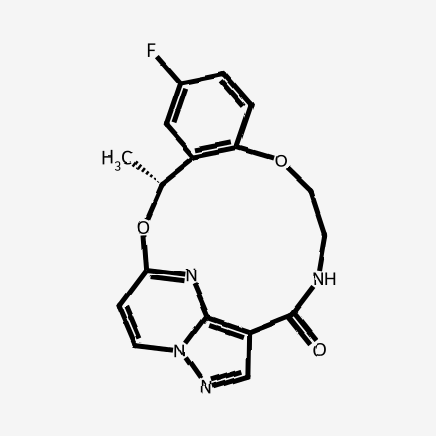 C[C@H]1Oc2ccn3ncc(c3n2)C(=O)NCCOc2ccc(F)cc21